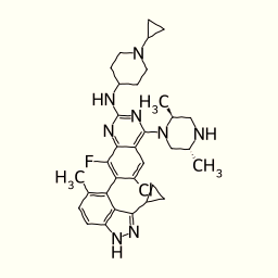 Cc1ccc2[nH]nc(C3CC3)c2c1-c1c(Cl)cc2c(N3C[C@@H](C)NC[C@@H]3C)nc(NC3CCN(C4CC4)CC3)nc2c1F